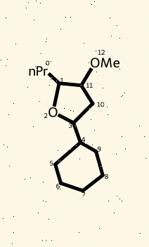 CCCC1OC(C2CCCCC2)CC1OC